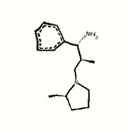 C[C@@H]1CCCN1C[C@H](C)[C@@H](N)c1ccccc1